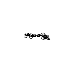 CCOc1ccc(OC(=O)c2ccc(-c3ccc(C(=O)Oc4ccc(OCC)cc4)cc3)cc2)cc1